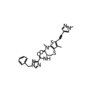 Cc1c(C#Cc2cnn(C)c2)sc2c1SC[C@H](NC(=O)c1ncn(Cc3ccccc3)n1)C(=O)N2C